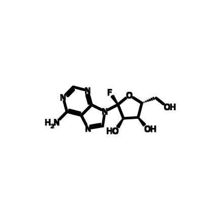 Nc1ncnc2c1ncn2[C@]1(F)O[C@H](CO)[C@@H](O)[C@H]1O